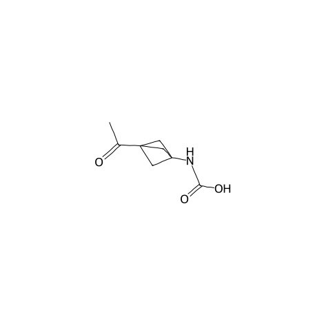 CC(=O)C12CC(NC(=O)O)(C1)C2